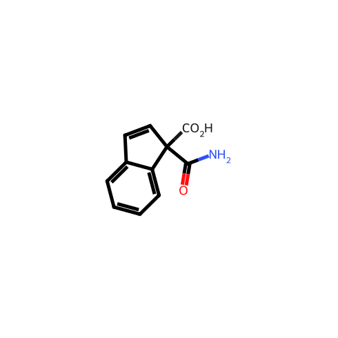 NC(=O)C1(C(=O)O)C=Cc2ccccc21